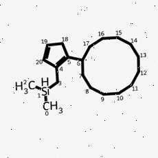 C[SiH](C)CC1=C([C]2CCCCCCCCCCC2)CC=C1